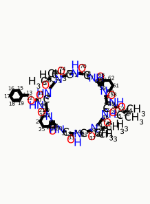 CC(C)[C@H]1C(=O)NC[C@@H](NC(=O)OCc2ccccc2)C(=O)N2CCCC[C@H]2C(=O)NCC(=O)NCC(=O)N(C)[C@@H](C(C)C)C(=O)NC[C@@H](NC(=O)OC(C)(C)C)C(=O)N2CCCC[C@H]2C(=O)NCC(=O)NCC(=O)N1C